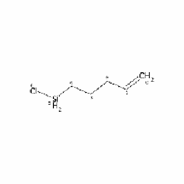 C=CCCC[SiH2]Cl